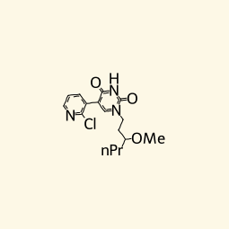 CCCC(CCn1cc(-c2cccnc2Cl)c(=O)[nH]c1=O)OC